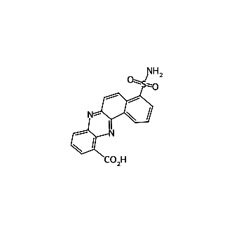 NS(=O)(=O)c1cccc2c1ccc1nc3cccc(C(=O)O)c3nc12